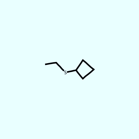 CCSC1CCC1